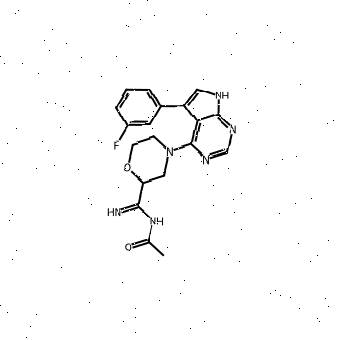 CC(=O)NC(=N)C1CN(c2ncnc3[nH]cc(-c4cccc(F)c4)c23)CCO1